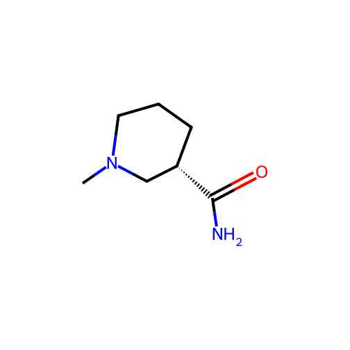 CN1CCC[C@H](C(N)=O)C1